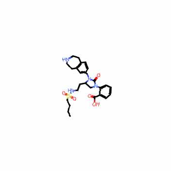 CCCCS(=O)(=O)NCCC1CN(c2ccccc2C(=O)O)C(=O)N1c1ccc2c(c1)CCNCC2